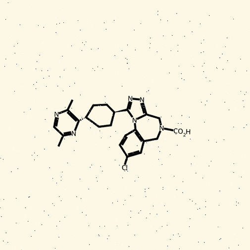 Cc1cnc(C)c([C@H]2CC[C@H](c3nnc4n3-c3ccc(Cl)cc3CN(C(=O)O)C4)CC2)n1